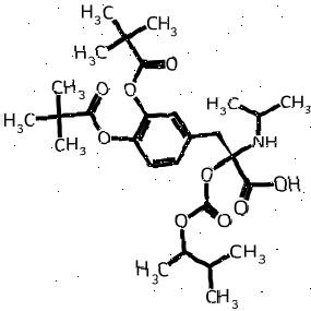 CC(C)N[C@@](Cc1ccc(OC(=O)C(C)(C)C)c(OC(=O)C(C)(C)C)c1)(OC(=O)OC(C)C(C)C)C(=O)O